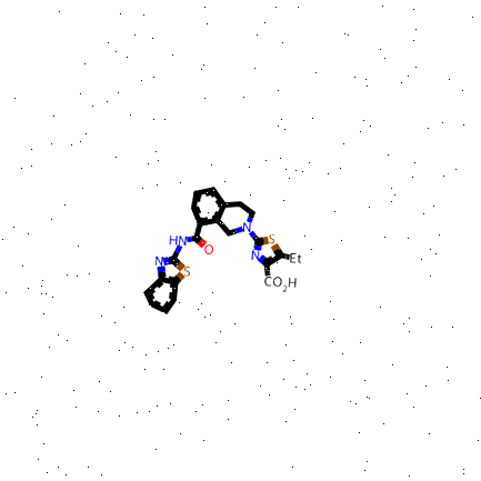 CCc1sc(N2CCc3cccc(C(=O)Nc4nc5ccccc5s4)c3C2)nc1C(=O)O